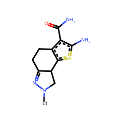 CCN1CC2C(=N1)CCc1c2sc(N)c1C(N)=O